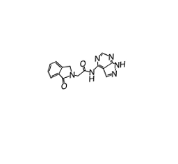 O=C(CN1Cc2ccccc2C1=O)Nc1ncnc2[nH]ncc12